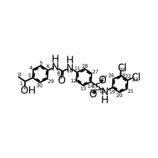 CC(O)c1ccc(NC(=O)Nc2ccc(S(=O)(=O)Nc3ccc(Cl)c(Cl)c3)cc2)cc1